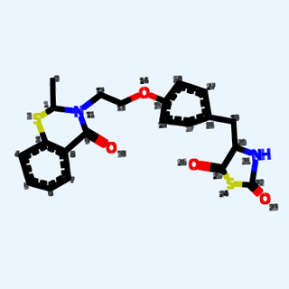 CC1Sc2ccccc2C(=O)N1CCOc1ccc(CC2NC(=O)SC2=O)cc1